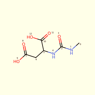 CNC(=O)NC(CC(=O)O)C(=O)O